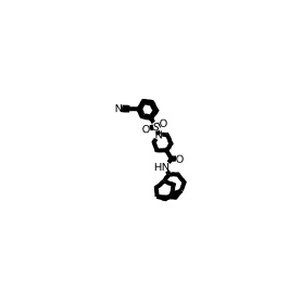 N#Cc1cccc(S(=O)(=O)N2CCC(C(=O)NC3CCC4CC5CC4CC3C5)CC2)c1